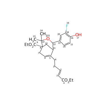 CCOC(=O)/C=C/CCC1=CCC2(C(=O)OCC)CC1C(c1ccc(O)c(F)c1)OC2(C)C